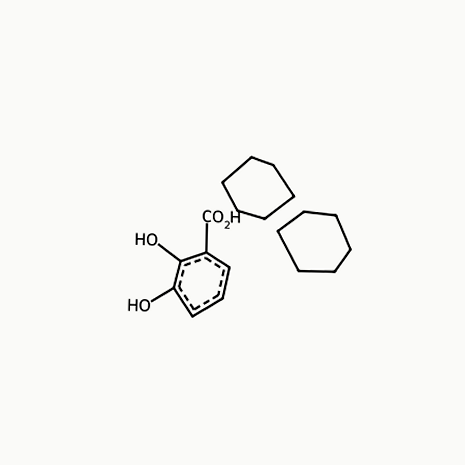 C1CCCCC1.C1CCCCC1.O=C(O)c1cccc(O)c1O